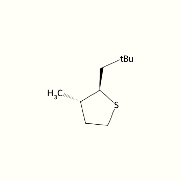 C[C@H]1CCS[C@@H]1CC(C)(C)C